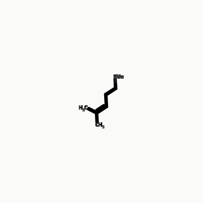 CSCCC=C(C)C